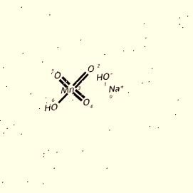 [Na+].[OH-].[O]=[Mn](=[O])(=[O])[OH]